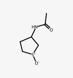 CC(=O)NC1CC[S+]([O-])C1